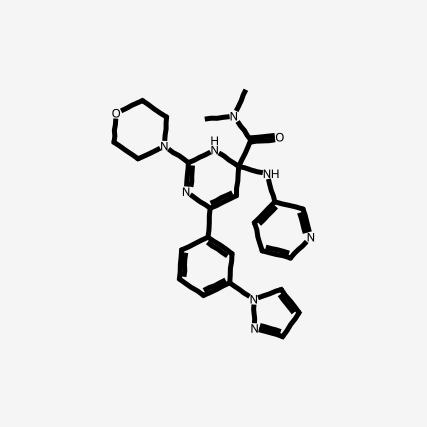 CN(C)C(=O)C1(Nc2cccnc2)C=C(c2cccc(-n3cccn3)c2)N=C(N2CCOCC2)N1